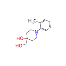 Cc1ccccc1N1CCC(O)(CO)CC1